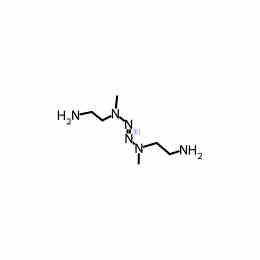 CN(CCN)/N=N/N(C)CCN